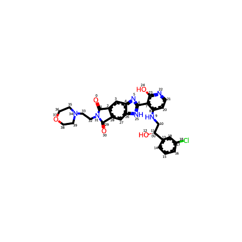 O=C1c2cc3nc(-c4c(NC[C@@H](O)c5cccc(Cl)c5)ccnc4O)[nH]c3cc2C(=O)N1CCN1CCOCC1